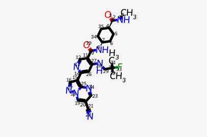 CNC(=O)[C@H]1CC[C@H](NC(=O)c2cnc(-c3cnn4cc(C#N)cnc34)cc2NCC(C)(C)F)CC1